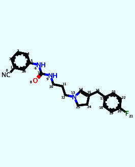 N#Cc1cccc(NC(=O)NCCCN2C=C(Cc3ccc(F)cc3)CC2)c1